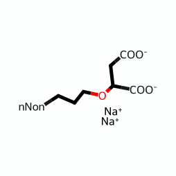 CCCCCCCCCCCCOC(CC(=O)[O-])C(=O)[O-].[Na+].[Na+]